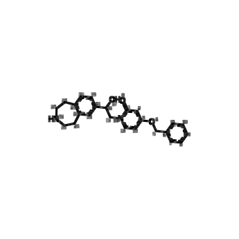 O=c1cc(OCc2ccccc2)ccn1CC(O)c1ccc2c(c1)CCNCC2